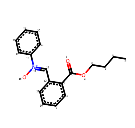 CCCCOC(=O)c1ccccc1C=[N+]([O-])c1ccccc1